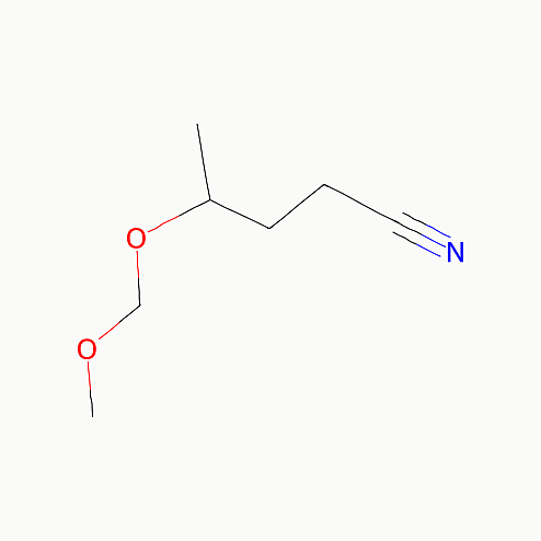 COCOC(C)CCC#N